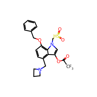 O=C(Oc1cn(C[SH](=O)=O)c2c(OCc3ccccc3)ccc(CN3CCC3)c12)C(F)(F)F